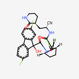 N#C[C@@H](C[C@@H]1CCCNC1=O)NC(=O)[C@@H]1[C@@H]2CC[C@@H](CC2(F)F)N1C(=O)C1(O)c2cc(F)ccc2-c2ccc(F)cc21